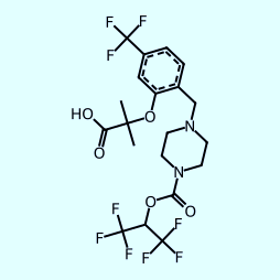 CC(C)(Oc1cc(C(F)(F)F)ccc1CN1CCN(C(=O)OC(C(F)(F)F)C(F)(F)F)CC1)C(=O)O